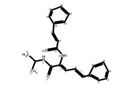 CC(C)NC(=O)/C(=C/C=C/c1ccccc1)NC(=O)C=Cc1ccccc1